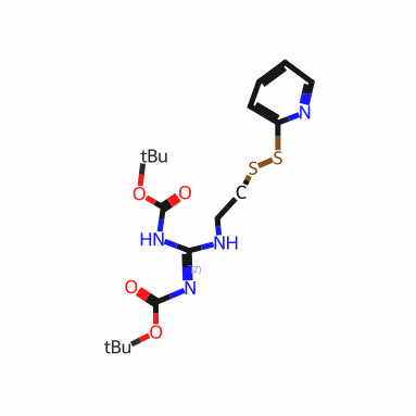 CC(C)(C)OC(=O)/N=C(/NCCSSc1ccccn1)NC(=O)OC(C)(C)C